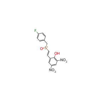 O=[N+]([O-])c1cc(C=C[S+]([O-])Cc2ccc(F)cc2)c(O)c([N+](=O)[O-])c1